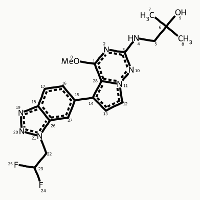 COc1nc(NCC(C)(C)O)nn2ccc(-c3ccc4nnn(CC(F)F)c4c3)c12